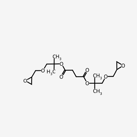 CC(C)(COCC1CO1)OC(=O)CCC(=O)OC(C)(C)COCC1CO1